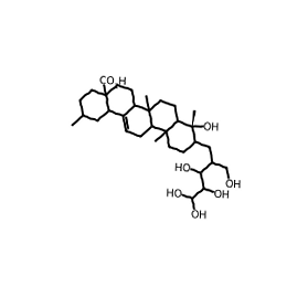 CC1CCC2(C(=O)O)CCC3C(=CCC4C3(C)CCC3C4(C)CCC(CC(CO)C(O)C(O)C(O)O)[C@@]3(C)O)C2C1